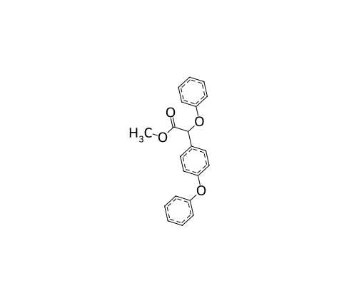 COC(=O)C(Oc1ccccc1)c1ccc(Oc2ccccc2)cc1